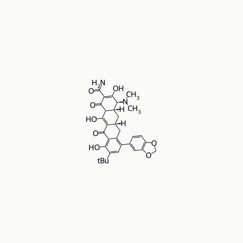 CN(C)[C@@H]1C(O)=C(C(N)=O)C(=O)C2C(O)=C3C(=O)c4c(O)c(C(C)(C)C)cc(-c5ccc6c(c5)OCO6)c4C[C@H]3C[C@H]21